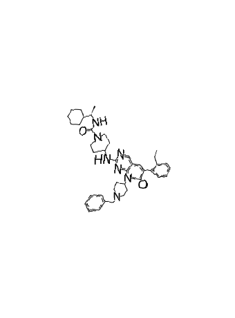 CCc1ccccc1-c1cc2cnc(NC3CCN(C(=O)N[C@H](C)C4CCCCC4)CC3)nc2n(C2CCN(Cc3ccccc3)CC2)c1=O